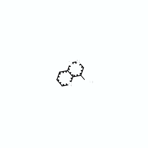 CC(C)(C)c1cnnc2cccnc12